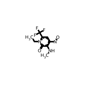 CCn1c(C(F)(F)F)cc(N=O)c(NC)c1=O